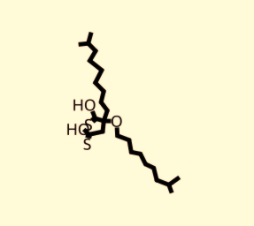 CC(C)CCCCCCCOC(CCCCCCCC(C)C)(CC(O)=S)C(O)=S